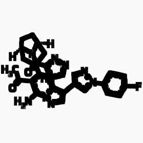 CC(=O)c1c(C2C[C@H]3CC[C@@H](C2)N3C(=O)c2nnc[nH]2)nc2c(-c3cnn(-c4ccc(F)cc4)c3)cnn2c1N